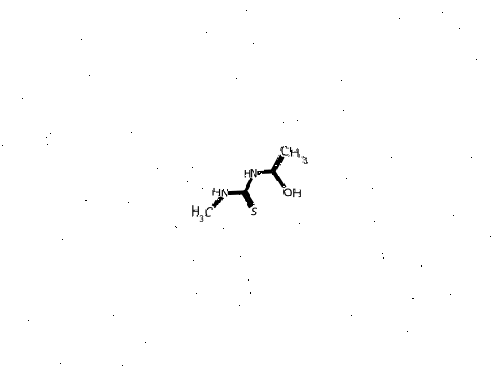 CNC(=S)NC(C)O